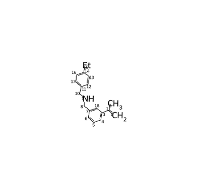 C=C(C)c1cccc(CNCc2ccc(CC)cc2)c1